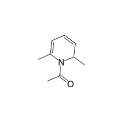 CC(=O)N1C(C)=CC=CC1C